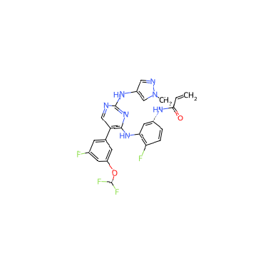 C=CC(=O)Nc1ccc(F)c(Nc2nc(Nc3cnn(C)c3)ncc2-c2cc(F)cc(OC(F)F)c2)c1